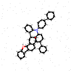 c1ccc(-c2ccc(N(c3ccc(-c4ccccc4)cc3)c3ccccc3-c3ccc4ccc5c6ccccc6oc5c4c3)cc2)cc1